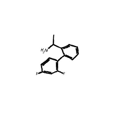 CC(N)c1ccccc1-c1ccc(F)cc1F